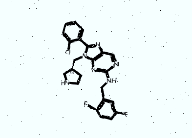 Fc1ccc(F)c(CNc2ncc3nc(-c4ccccc4Cl)n(C[C@H]4CCNC4)c3n2)c1